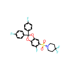 O=S(=O)(c1cc2c(cc1F)OC(c1ccc(F)cc1)(c1ccc(F)cc1)O2)N1CCC(F)(F)CC1